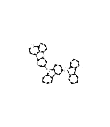 c1cc2c3c(ccnc3c1)-c1ncc(-n3c4ccccc4c4cc(-n5c6ccccc6c6ccccc65)ccc43)cc1-2